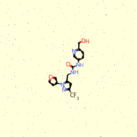 O=C(NCc1cc(C(F)(F)F)nn1-c1ccoc1)Nc1ccc(CO)nc1